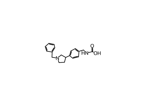 O=C(O)NCc1ccc(C2CCN(Cc3ccccc3)C2)cc1